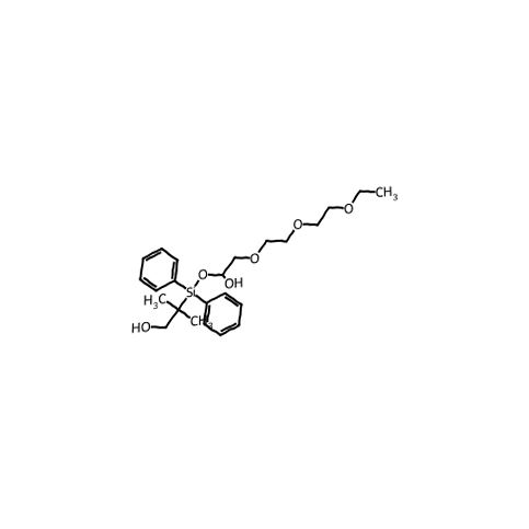 CCOCCOCCOCC(O)O[Si](c1ccccc1)(c1ccccc1)C(C)(C)CO